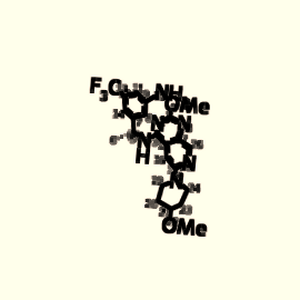 COc1nc(N[C@H](C)c2cc(N)cc(C(F)(F)F)c2)c2cc(N3CCC(OC)CC3)ncc2n1